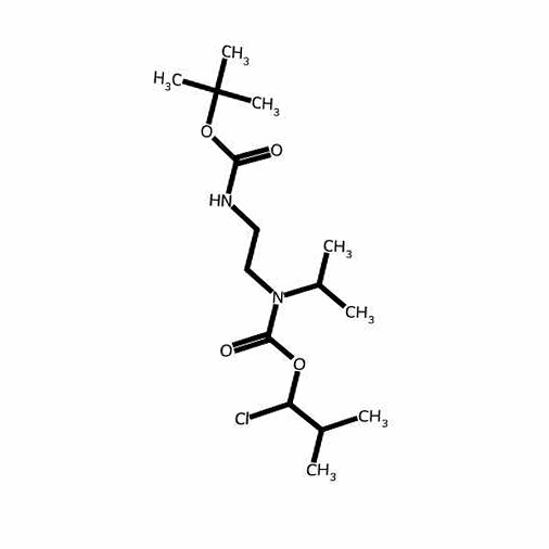 CC(C)C(Cl)OC(=O)N(CCNC(=O)OC(C)(C)C)C(C)C